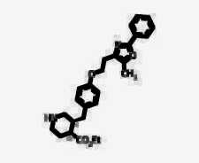 CCOC(=O)[C@H]1CCNC[C@H]1Cc1ccc(OCCc2nc(-c3ccccc3)oc2C)cc1